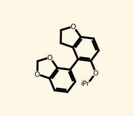 CC(C)Oc1ccc2c(c1-c1cccc3c1OCO3)CCO2